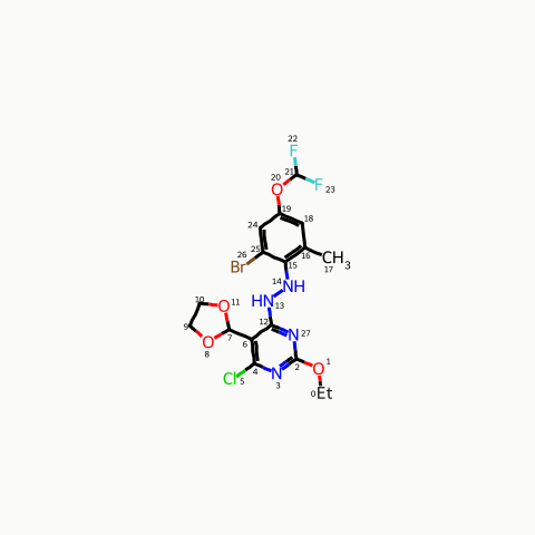 CCOc1nc(Cl)c(C2OCCO2)c(NNc2c(C)cc(OC(F)F)cc2Br)n1